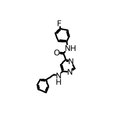 O=C(Nc1ccc(F)cc1)c1cc(NCc2ccccc2)ncn1